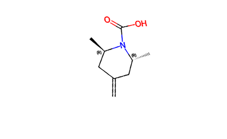 C=C1C[C@@H](C)N(C(=O)O)[C@H](C)C1